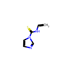 C=CNC(=S)n1ccnc1